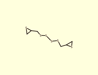 C(SSSSCC1CS1)C1CS1